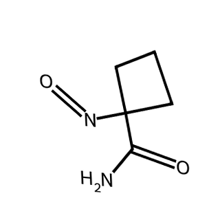 NC(=O)C1(N=O)CCC1